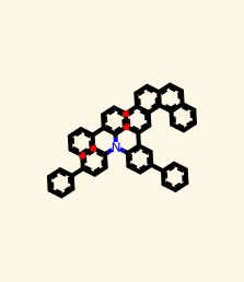 c1ccc(-c2ccc(N(c3ccccc3-c3ccccc3)c3ccc(-c4ccccc4)cc3-c3ccc4ccc5ccc6ccccc6c5c4c3)cc2)cc1